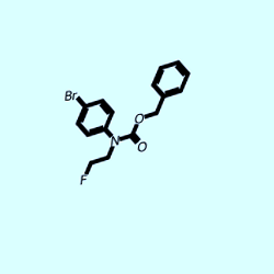 O=C(OCc1ccccc1)N(CCF)c1ccc(Br)cc1